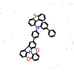 c1ccc(-c2cccc(N(c3ccc(-c4cc5c6c(c4)c4cccc7c4n6-c4c(cccc4O5)O7)cc3)c3cccc4sc5ccccc5c34)c2)cc1